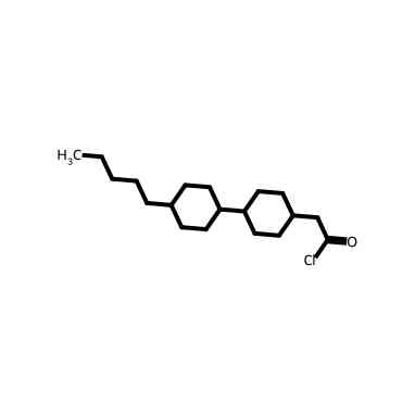 CCCCCC1CCC(C2CCC(CC(=O)Cl)CC2)CC1